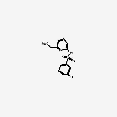 COCc1cccc(NS(=O)(=O)c2cccc(Cl)c2)n1